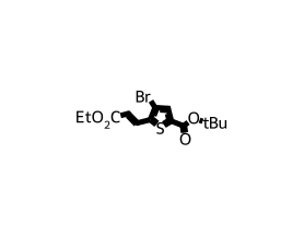 CCOC(=O)C=Cc1sc(C(=O)OC(C)(C)C)cc1Br